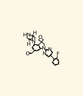 O=Cc1cc2c(c(N3C[C@@H]4C[C@H]3CN4)c1)C1(COC1)CN2c1ncc(-c2ccccc2F)cn1